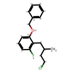 C[C](CCCl)Cc1c(F)cccc1OCc1ccccc1